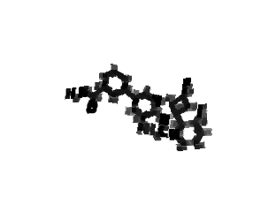 CN(c1ncc(-c2cccc(C(N)=O)c2)cc1F)[C@]1(c2ncccc2F)C[C@@H](F)C1